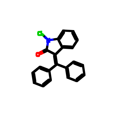 O=C1C(=C(c2ccccc2)c2ccccc2)c2ccccc2N1Cl